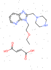 CCOCCn1c(CN2CCNCC2)nc2cccnc21.O=C(O)C=CC(=O)O